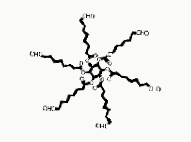 O=CCCCCCCCC(=O)OC1C(OC(=O)CCCCCCCC=O)C(OC(=O)CCCCCCCC=O)C(OC(=O)CCCCCCCC=O)C(OC(=O)CCCCCCCC=O)C1OC(=O)CCCCCCCC=O